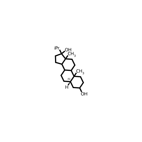 CC(C)C1(O)CCC2C3CC[C@H]4CC(O)CCC4(C)C3CCC21C